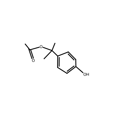 CC(=O)OC(C)(C)c1ccc(O)cc1